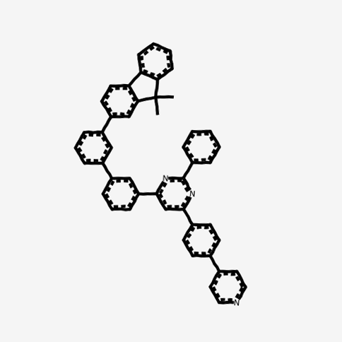 CC1(C)c2ccccc2-c2ccc(-c3cccc(-c4cccc(-c5cc(-c6ccc(-c7ccncc7)cc6)nc(-c6ccccc6)n5)c4)c3)cc21